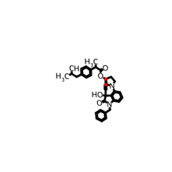 CC(C)Cc1ccc(C(C)C(=O)OCC#CC2(O)C(=O)N(Cc3ccccc3)c3cccc(N4CCCC4)c32)cc1